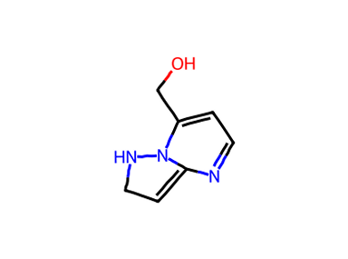 OCC1=CC=NC2=CCNN12